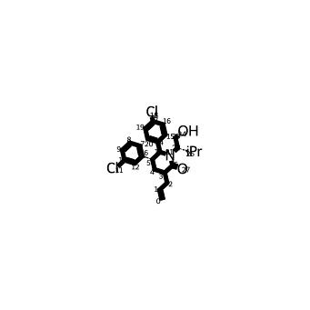 C=CCC1C[C@H](c2cccc(Cl)c2)C(c2ccc(Cl)cc2)N([C@H](CO)C(C)C)C1=O